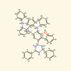 N#Cc1cc(-c2nc(-c3ccccc3)nc(-c3ccccc3)n2)c2c(oc3ccccc32)c1-n1c2ccccc2c2cc3c4ccccc4n4c5ccccc5c(c21)c34